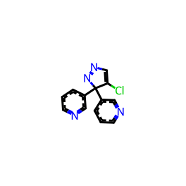 ClC1=CN=NC1(c1cccnc1)c1cccnc1